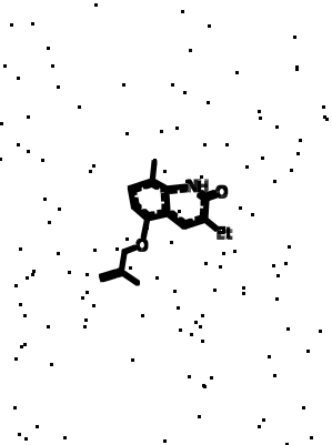 C=C(C)COc1ccc(C)c2[nH]c(=O)c(CC)cc12